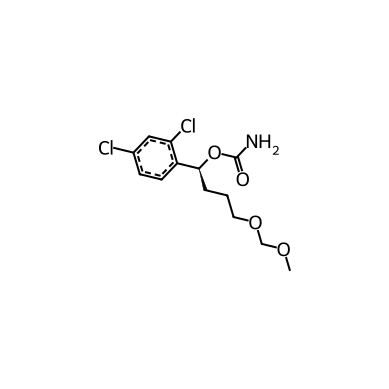 COCOCCC[C@H](OC(N)=O)c1ccc(Cl)cc1Cl